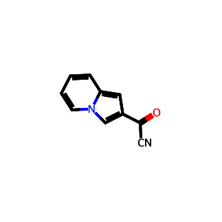 N#CC(=O)c1cc2ccccn2c1